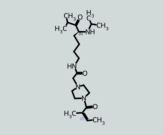 C/C=C(/C)C(=O)N1CCN(CC(=O)NCCCC[C@H](NC(C)C)C(=O)C(C)C)CC1